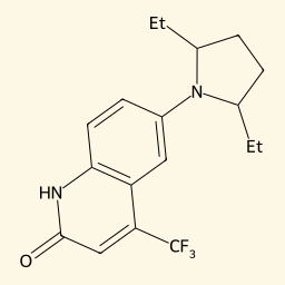 CCC1CCC(CC)N1c1ccc2[nH]c(=O)cc(C(F)(F)F)c2c1